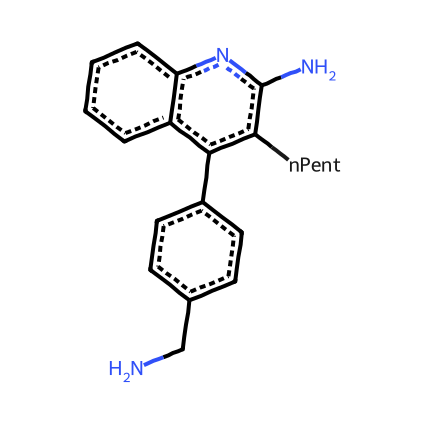 CCCCCc1c(N)nc2ccccc2c1-c1ccc(CN)cc1